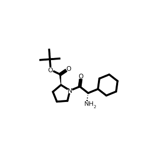 CC(C)(C)OC(=O)[C@@H]1CCCN1C(=O)[C@@H](N)C1CCCCC1